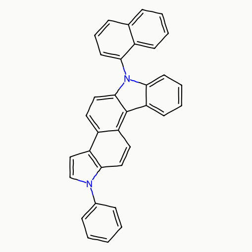 c1ccc(-n2ccc3c4ccc5c(c4ccc32)c2ccccc2n5-c2cccc3ccccc23)cc1